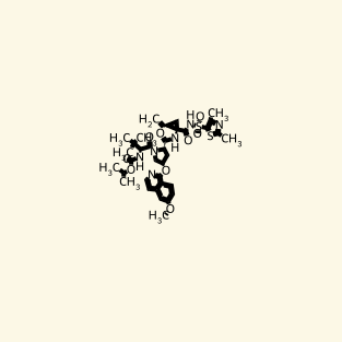 C=C[C@@H]1C[C@]1(NC(=O)[C@@H]1C[C@@H](Oc2nccc3cc(OC)ccc23)CN1C(=O)[C@@H](NC(=O)OC(C)C)C(C)(C)C)C(=O)NS(=O)(=O)c1sc(C)nc1C